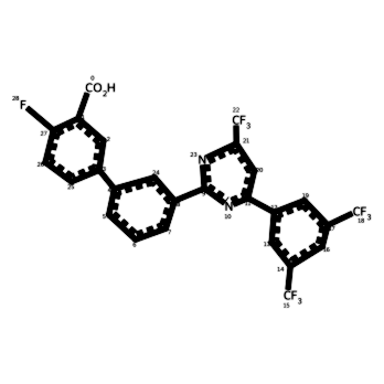 O=C(O)c1cc(-c2cccc(-c3nc(-c4cc(C(F)(F)F)cc(C(F)(F)F)c4)cc(C(F)(F)F)n3)c2)ccc1F